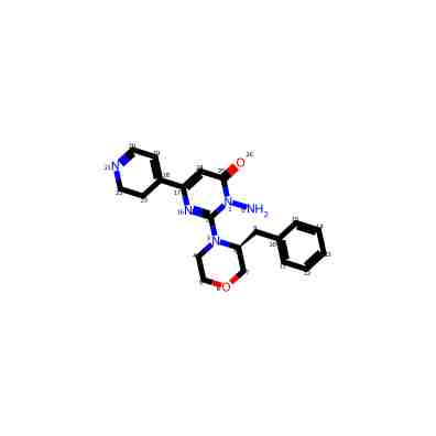 Nn1c(N2CCOC[C@@H]2Cc2ccccc2)nc(C2=CC=NCC2)cc1=O